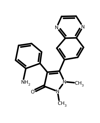 Cn1c(-c2ccc3nccnc3c2)c(-c2ccccc2N)c(=O)n1C